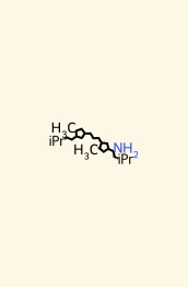 CC(C)CCC1CC(CCCC2CC(C(N)CC(C)C)CC2C)CC1C